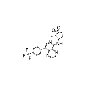 CC1C(Nc2ncc(-c3ccc(C(F)(F)F)cc3)c3nccnc23)CCS1(=O)=O